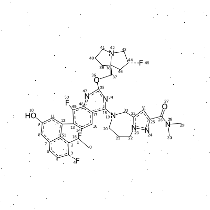 CCc1c(F)ccc2cc(O)cc(-c3c(F)cc4c(N5CCCn6nc(C(=O)N(C)C)cc6C5)nc(OC[C@@]56CCCN5C[C@H](F)C6)nc4c3F)c12